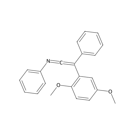 COc1ccc(OC)c(C(=C=Nc2ccccc2)c2ccccc2)c1